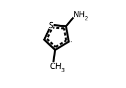 Cc1[c]c(N)sc1